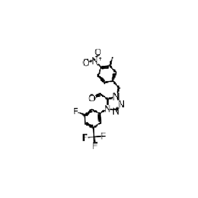 Cc1cc(CN2N=NN(c3cc(F)cc(C(F)(F)F)c3)C2C=O)ccc1[N+](=O)[O-]